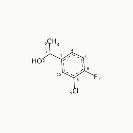 CC(O)c1ccc(F)c(Cl)c1